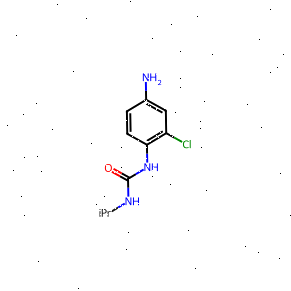 CC(C)NC(=O)Nc1ccc(N)cc1Cl